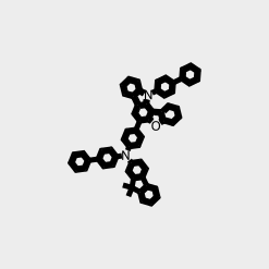 CC1(C)c2ccccc2-c2ccc(N(c3ccc(-c4ccccc4)cc3)c3ccc(-c4cc5c6ccccc6n(-c6ccc(-c7ccccc7)cc6)c5c5c4oc4ccccc45)cc3)cc21